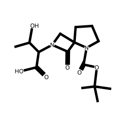 CC(O)C(C(=O)O)N1CC2(CCCN2C(=O)OC(C)(C)C)C1=O